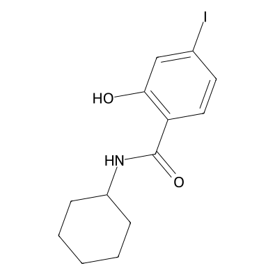 O=C(NC1CCCCC1)c1ccc(I)cc1O